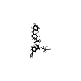 COC(=O)CCc1cn(CC(=O)N2CCC(Cc3ccccc3)CC2)c2ccc(C#N)cc12